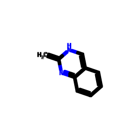 C=C1N=c2ccccc2=CN1